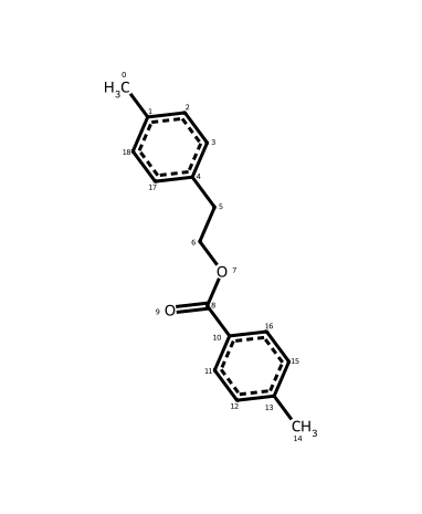 Cc1ccc(CCOC(=O)c2ccc(C)cc2)cc1